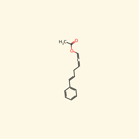 CC(=O)OC=C=CCC=Cc1ccccc1